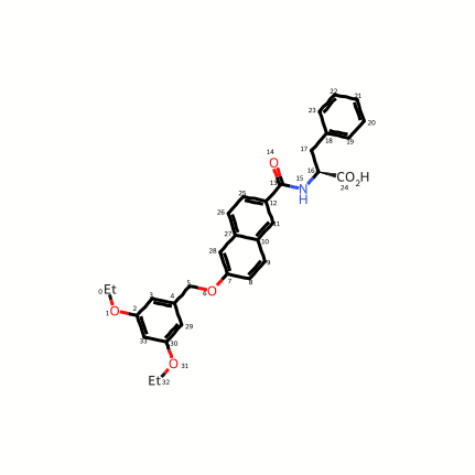 CCOc1cc(COc2ccc3cc(C(=O)N[C@@H](Cc4ccccc4)C(=O)O)ccc3c2)cc(OCC)c1